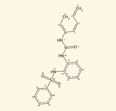 C=C/C=C\C(=C/C)NC(=O)Nc1ccccc1NS(=O)(=O)c1ccccc1